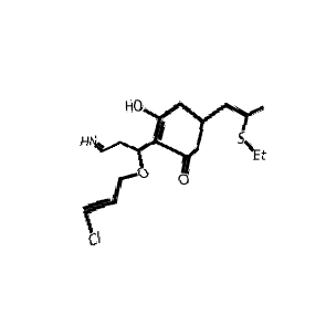 CCSC(C)CC1CC(=O)C(C(CC=N)OCC=CCl)=C(O)C1